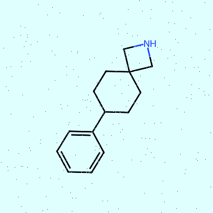 c1ccc(C2CCC3(CC2)CNC3)cc1